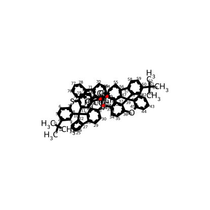 CC(C)(C)c1ccc2c(c1)C1(c3cc(C(C)(C)C)ccc3S2)c2ccccc2-c2ccc(N(c3ccc4c(c3)C3(c5ccccc5O4)c4cc(C(C)(C)C)ccc4-c4ccc(C(C)(C)C)cc43)c3cccc4c3oc3ccccc34)cc21